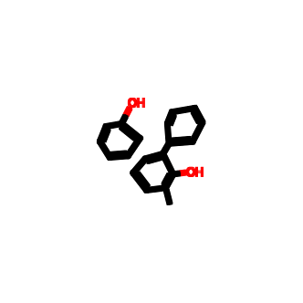 Cc1cccc(-c2ccccc2)c1O.Oc1ccccc1